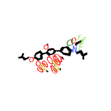 COc1cc(-c2ccc(N(CC=C(C)C)C(=O)C(F)(F)F)c(Cl)c2)c(OC)c(OS(C)(=O)=O)c1-c1ccc(OCC=C(C)C)c(OS(C)(=O)=O)c1